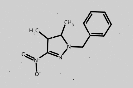 CC1C([N+](=O)[O-])=NN(Cc2ccccc2)C1C